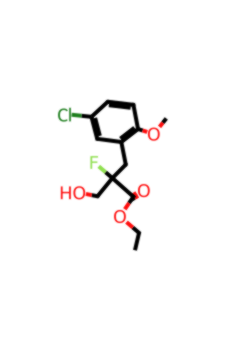 CCOC(=O)C(F)(CO)Cc1cc(Cl)ccc1OC